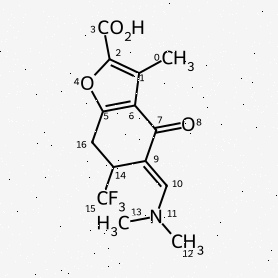 Cc1c(C(=O)O)oc2c1C(=O)C(=CN(C)C)C(C(F)(F)F)C2